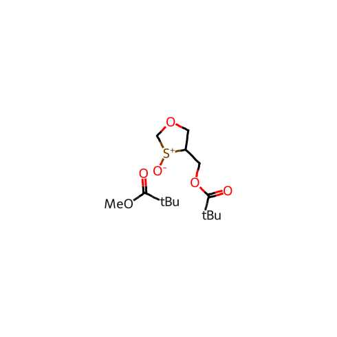 CC(C)(C)C(=O)OCC1COC[S+]1[O-].COC(=O)C(C)(C)C